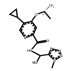 C[C@H](Oc1cc(C(=O)NC(c2nnnn2C)C(C)(C)C)ncc1C1CC1)C(F)(F)F